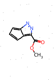 COC(=O)C1=C2C=CC=C2N=N1